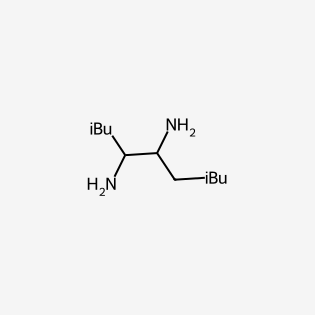 CCC(C)CC(N)C(N)C(C)CC